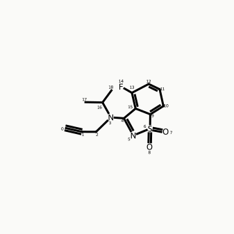 C#CCN(C1=NS(=O)(=O)c2cccc(F)c21)C(C)C